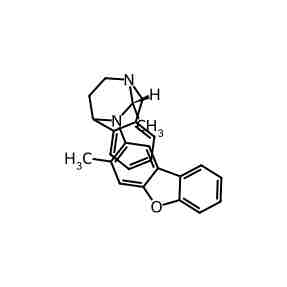 Cc1cc2oc3ccccc3c2cc1N1C2CCN(Cc3ccccc32)[C@@H]1C